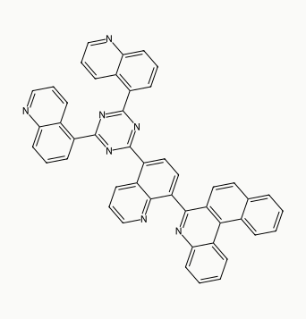 c1ccc2c(c1)ccc1c(-c3ccc(-c4nc(-c5cccc6ncccc56)nc(-c5cccc6ncccc56)n4)c4cccnc34)nc3ccccc3c12